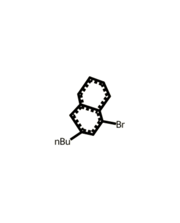 CCCCc1cc(Br)c2ccccc2c1